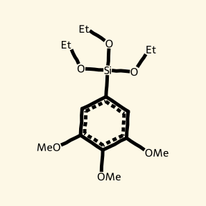 CCO[Si](OCC)(OCC)c1cc(OC)c(OC)c(OC)c1